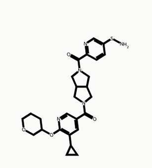 NSc1ccc(C(=O)N2CC3CN(C(=O)c4cnc(OC5CCCOC5)c(C5CC5)c4)CC3C2)nc1